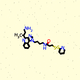 CC(CCN)c1nc2ccccc2c2c1ncn2CCCCNC(=O)CCSSc1ccccn1